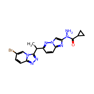 CC(c1ccc2nc(N(N)C(=O)C3CC3)cn2n1)c1nnc2ccc(Br)cn12